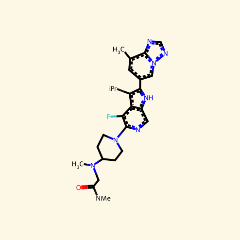 CNC(=O)CN(C)C1CCN(c2ncc3[nH]c(-c4cc(C)c5ncnn5c4)c(C(C)C)c3c2F)CC1